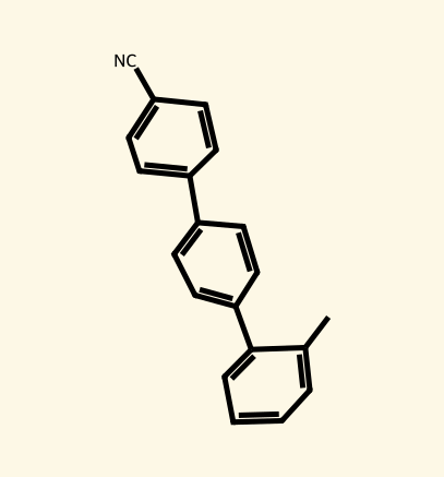 Cc1ccccc1-c1ccc(-c2ccc(C#N)cc2)cc1